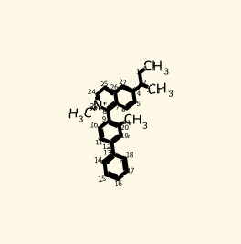 CCC(C)c1ccc2c(-c3ccc(-c4ccccc4)cc3C)[n+](C)ccc2c1